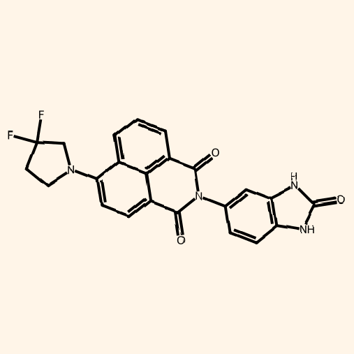 O=C1c2cccc3c(N4CCC(F)(F)C4)ccc(c23)C(=O)N1c1ccc2[nH]c(=O)[nH]c2c1